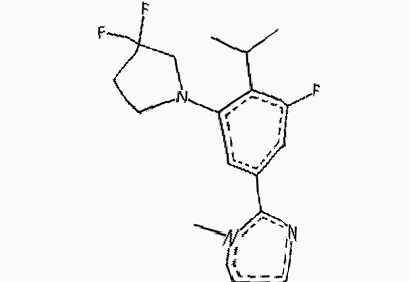 CC(C)c1c(F)cc(-c2nccn2C)cc1N1CCC(F)(F)C1